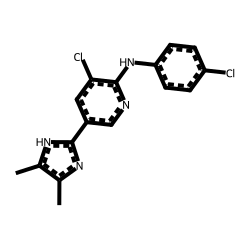 Cc1nc(-c2cnc(Nc3ccc(Cl)cc3)c(Cl)c2)[nH]c1C